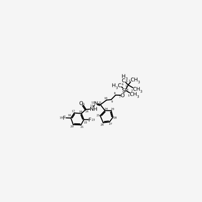 CC(C)(C)[Si](C)(C)OCCCC(=NNC(=O)c1cc(F)ccc1F)c1ccccc1